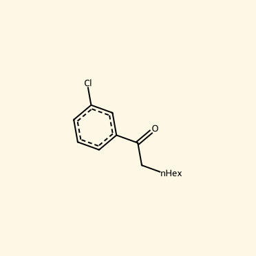 CCCCCCCC(=O)c1cccc(Cl)c1